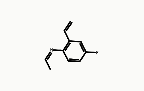 C=Cc1cc(F)ccc1/N=C\C